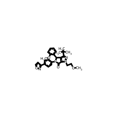 COCCn1nc(C(C)(C)C)c2c1C(=O)N(c1ccc(-c3ccon3)cc1)C2c1ccccc1OC